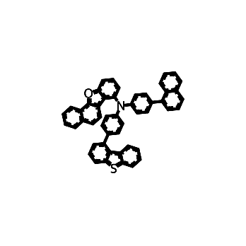 c1ccc2c(-c3ccc(N(c4ccc(-c5cccc6sc7ccccc7c56)cc4)c4cccc5oc6c7ccccc7ccc6c45)cc3)cccc2c1